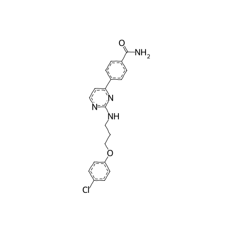 NC(=O)c1ccc(-c2ccnc(NCCCOc3ccc(Cl)cc3)n2)cc1